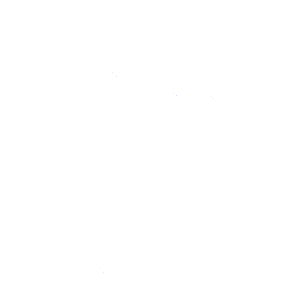 C=CC(=O)N1CCC(c2cc(-c3ccc(Oc4ccccn4)c(F)c3)cc3cncnc23)C1